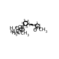 CN1CC[C@H](C#Cc2cccc(B3OC(C)(C)C(C)(C)O3)c2)C1=O